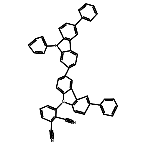 N#Cc1cccc(-n2c3ccc(-c4ccccc4)cc3c3cc(-c4ccc5c6cc(-c7ccccc7)ccc6n(-c6ccccc6)c5c4)ccc32)c1C#N